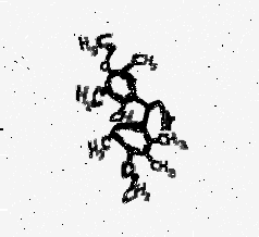 CCOc1c(C)cc(C(CBr)c2cc(C)c(OCC)c(C)c2C)c(C)c1C